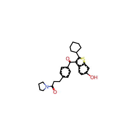 O=C(c1ccc(CCC(=O)N2CCCC2)cc1)c1c(C2CCCCC2)sc2cc(O)ccc12